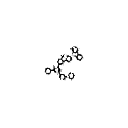 CC1(C)c2ccc(-c3nc(-c4ccccc4)nc(-c4cccc(-c5ccccc5)c4)n3)cc2-c2ccc(-n3c4ccccc4c4cccnc43)cc21